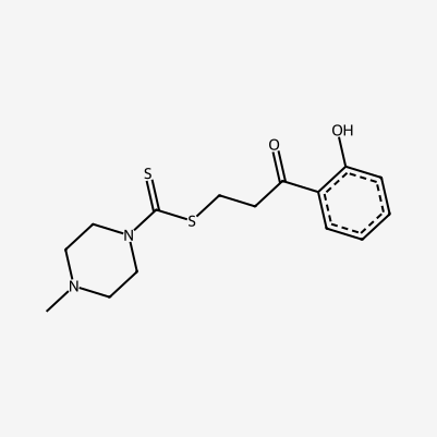 CN1CCN(C(=S)SCCC(=O)c2ccccc2O)CC1